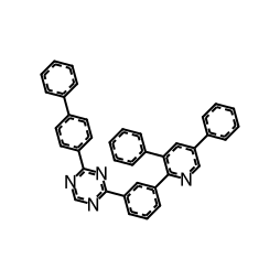 c1ccc(-c2ccc(-c3ncnc(-c4cccc(-c5ncc(-c6ccccc6)cc5-c5ccccc5)c4)n3)cc2)cc1